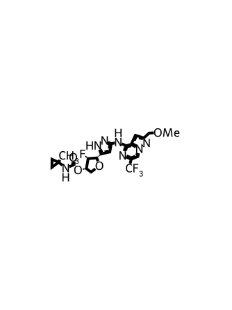 COCc1cc2c(Nc3cc([C@@H]4OC[C@H](OC(=O)NC5(C)CC5)[C@@H]4F)[nH]n3)nc(C(F)(F)F)cn2n1